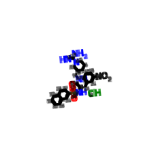 Cl.N=C(N)N1CCC[C@H](CNC(=O)[C@H](Cc2cccc([N+](=O)[O-])c2)NS(=O)(=O)c2ccc3ccccc3c2)C1